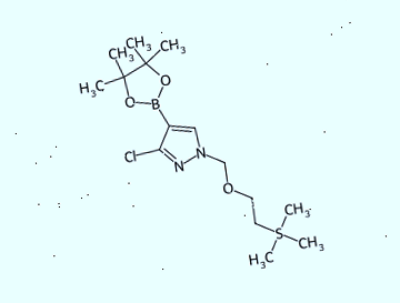 CC1(C)OB(c2cn(COCCS(C)(C)C)nc2Cl)OC1(C)C